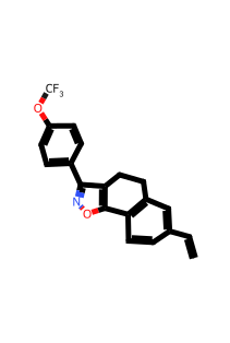 C=Cc1ccc2c(c1)CCc1c(-c3ccc(OC(F)(F)F)cc3)noc1-2